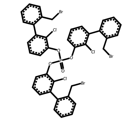 O=P(Oc1cccc(-c2ccccc2CBr)c1Cl)(Oc1cccc(-c2ccccc2CBr)c1Cl)Oc1cccc(-c2ccccc2CBr)c1Cl